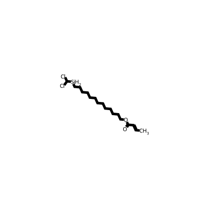 CC=CC(=O)OCCCCCCCCCCCCC[SiH2]C(Cl)Cl